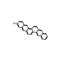 Fc1ccc2cc3c(ccc4c5cc6ccccc6cc5ccc34)cc2c1